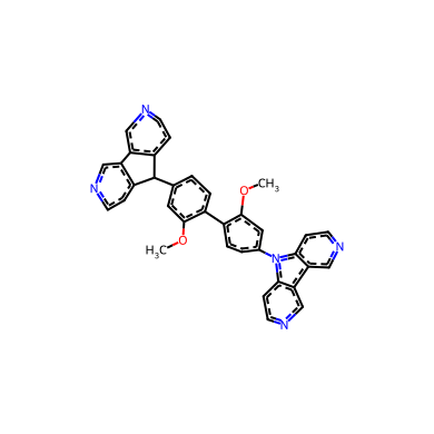 COc1cc(C2c3ccncc3-c3cnccc32)ccc1-c1ccc(-n2c3ccncc3c3cnccc32)cc1OC